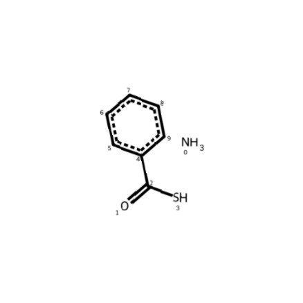 N.O=C(S)c1ccccc1